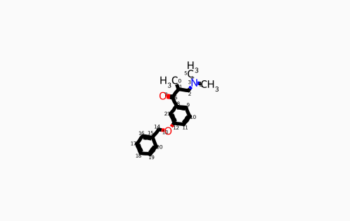 CC(CN(C)C)C(=O)c1cccc(OCc2ccccc2)c1